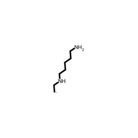 [CH2]CNCCCCCN